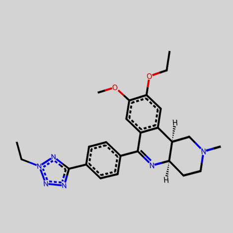 CCOc1cc2c(cc1OC)C(c1ccc(-c3nnn(CC)n3)cc1)=N[C@@H]1CCN(C)C[C@H]21